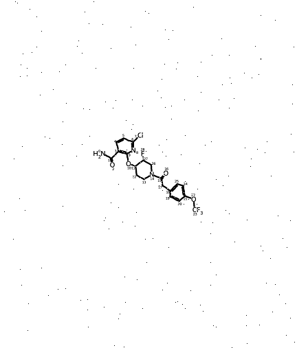 NC(=O)c1ccc(Cl)nc1O[C@@H]1CCN(C(=O)Cc2ccc(OC(F)(F)F)cc2)C[C@H]1F